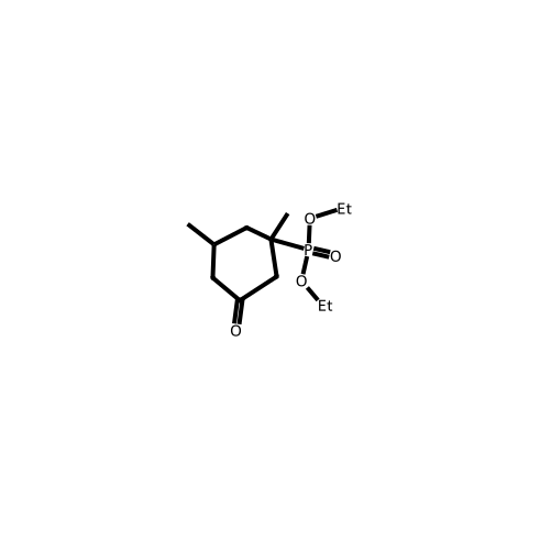 CCOP(=O)(OCC)C1(C)CC(=O)CC(C)C1